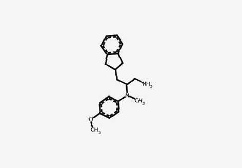 COc1ccc(N(C)C(CN)CC2Cc3ccccc3C2)cc1